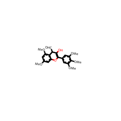 COc1cc(OC)c2c(c1)OC(c1cc(OC)c(OC)c(OC)c1)=C(O)C2C=O